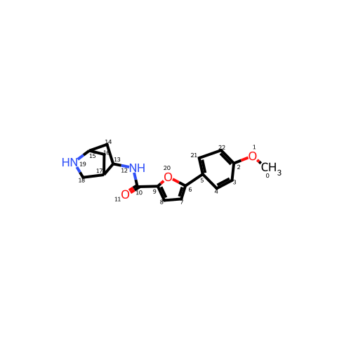 COc1ccc(-c2ccc(C(=O)NC3CC4CC3CN4)o2)cc1